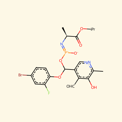 Cc1ncc(C(Oc2ccc(Br)cc2F)O[P+]([O-])=N[C@@H](C)C(=O)OC(C)C)c(C=O)c1O